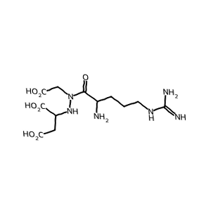 N=C(N)NCCCC(N)C(=O)N(CC(=O)O)NC(CC(=O)O)C(=O)O